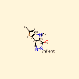 CCCCCn1ncc2c3sc(C)cc3n(C)c2c1=O